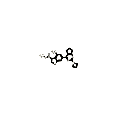 CSNC1COc2cc(-c3nc(N4CCC4)nc4c3CCC4)cc(C)c21